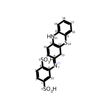 O=S(=O)(O)c1ccc(S(=O)(=O)O)c(/N=C2\C=CC3=C(C2)Sc2ccccc2N3)c1